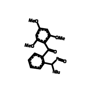 CCCCC(P=O)c1ccccc1C(=O)c1c(OC)cc(OC)cc1OC